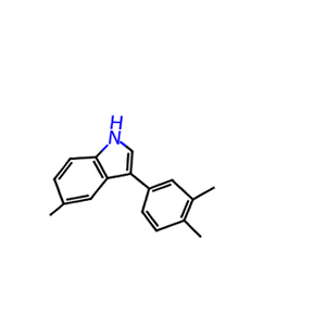 Cc1ccc2[nH]cc(-c3ccc(C)c(C)c3)c2c1